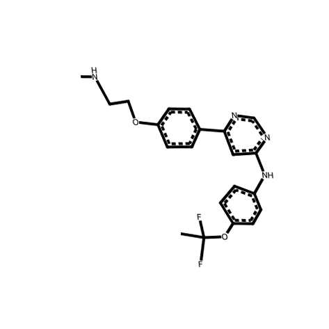 CNCCOc1ccc(-c2cc(Nc3ccc(OC(C)(F)F)cc3)ncn2)cc1